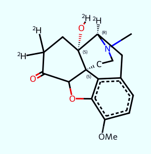 [2H]O[C@@]12CC([2H])([2H])C(=O)C3Oc4c(OC)ccc5c4[C@@]31CCN(C)[C@]2([2H])C5